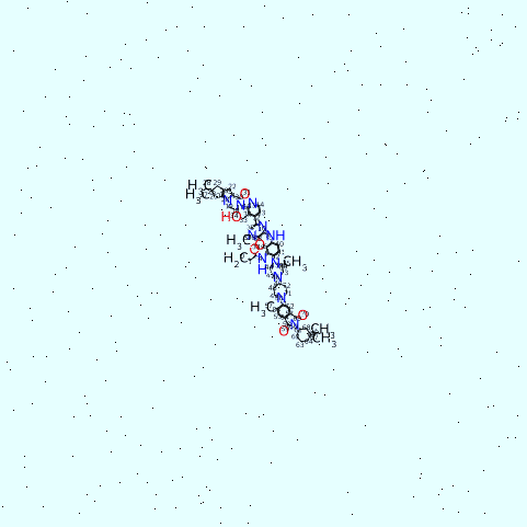 C=CC(=O)Nc1cc(Nc2nc(-c3ccnc(N4CCn5c(cc6c5CC(C)(C)C6)C4=O)c3CO)cn(C)c2=O)ccc1N1CCN(C2CCN(c3cc4c(cc3C)C(=O)N(C3CCCC(C)(C)C3)C4=O)CC2)C[C@@H]1C